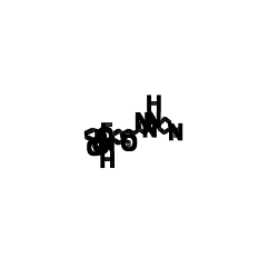 COc1cc(NS(=O)(=O)c2ccccc2Cl)c(F)cc1/C=C/c1cnc(N[C@H]2CC[C@H](N(C)C)CC2)nc1